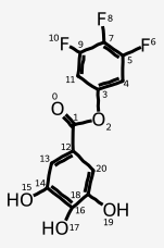 O=C(Oc1cc(F)c(F)c(F)c1)c1cc(O)c(O)c(O)c1